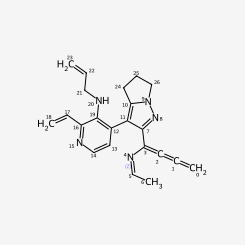 C=C=C=C(/N=C\C)c1nn2c(c1-c1ccnc(C=C)c1NCC=C)CCC2